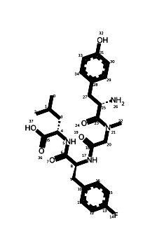 CC(C)C[C@H](NC(=O)[C@H](Cc1ccc(F)cc1)NC(=O)CN(C)C(=O)[C@@H](N)Cc1ccc(O)cc1)C(=O)O